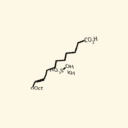 CCCCCCCCC=CCCCCCCCC(=O)O.O=S(=O)(O)O.[KH]